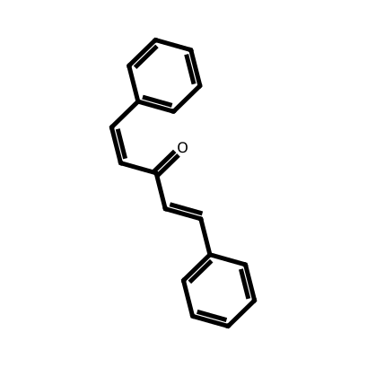 O=C(/C=C\c1ccccc1)/C=C/c1ccccc1